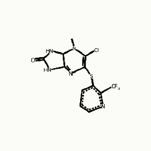 CN1C(Cl)=C(Sc2cccnc2C(F)(F)F)N=C2NC(=O)NC21